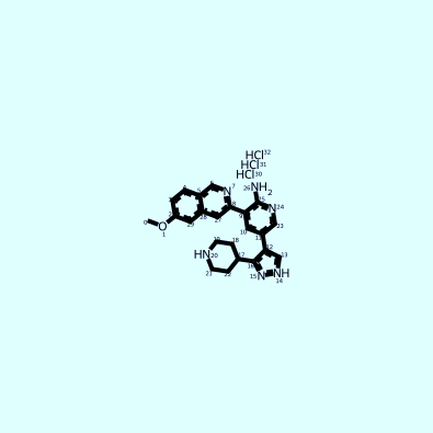 COc1ccc2cnc(-c3cc(-c4c[nH]nc4C4CCNCC4)cnc3N)cc2c1.Cl.Cl.Cl